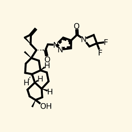 C=C1C[C@@H]1[C@H](C(=O)Cn1cc(C(=O)N2CC(F)(F)C2)cn1)[C@@]1(C)CC[C@H]2[C@@H](CC[C@@H]3C[C@](C)(O)CC[C@@H]32)C1